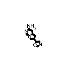 Nc1cc2cc(-c3cnco3)cn2cn1